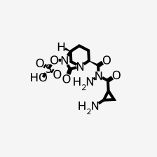 NC1CC1C(=O)N(N)C(=O)[C@@H]1CC[C@@H]2CN1C(=O)N2OS(=O)(=O)O